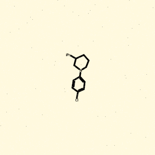 CC(C)C1CCCN(c2ccc(Cl)cc2)C1